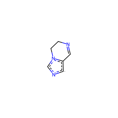 [c]1ncn2c1C=NCC2